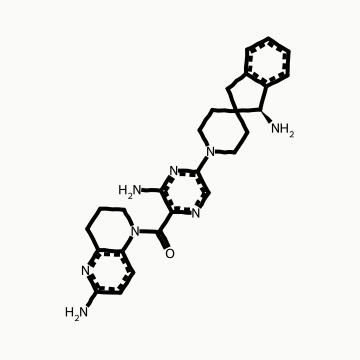 Nc1ccc2c(n1)CCCN2C(=O)c1ncc(N2CCC3(CC2)Cc2ccccc2[C@H]3N)nc1N